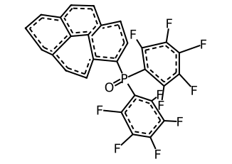 O=P(c1c(F)c(F)c(F)c(F)c1F)(c1c(F)c(F)c(F)c(F)c1F)c1ccc2ccc3cccc4ccc1c2c34